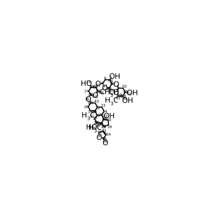 C[C@H]1OC(O[C@H]2[C@@H](O)CC(O[C@H]3[C@@H](O)C[C@H](O[C@H]4CC[C@@]5(C)C(CCC6C5C[C@@H](O)[C@]5(C)[C@@H](C7=CC(=O)OC7)CC[C@]65O)C4)O[C@@H]3C)O[C@@H]2C)C[C@H](O)[C@@H]1O